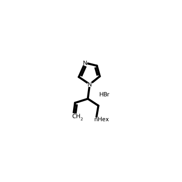 Br.C=CC(CCCCCCC)n1ccnc1